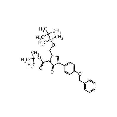 CC(C)(C)OC(=O)N1C(=O)C(c2ccc(OCc3ccccc3)cc2)=CC1CO[Si](C)(C)C(C)(C)C